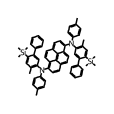 Cc1ccc(N(c2cc(-c3ccccc3)c([Si](C)(C)C)cc2C)c2ccc3ccc4c(N(c5ccc(C)cc5)c5cc(-c6ccccc6)c([Si](C)(C)C)cc5C)ccc5ccc2c3c54)cc1